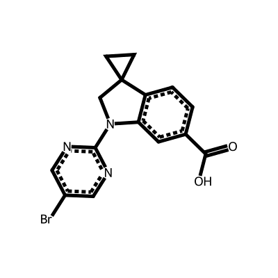 O=C(O)c1ccc2c(c1)N(c1ncc(Br)cn1)CC21CC1